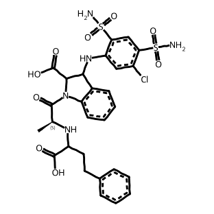 C[C@H](NC(CCc1ccccc1)C(=O)O)C(=O)N1c2ccccc2C(Nc2cc(Cl)c(S(N)(=O)=O)cc2S(N)(=O)=O)C1C(=O)O